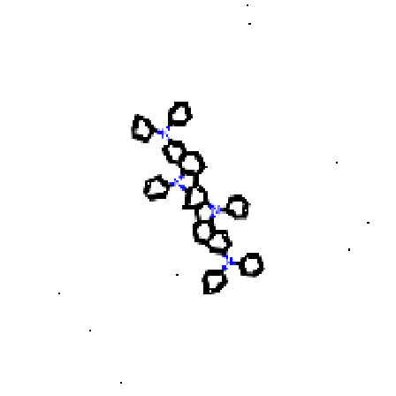 c1ccc(N(c2ccccc2)c2ccc3c(ccc4c5cc6c(cc5n(-c5ccccc5)c34)c3ccc4cc(N(c5ccccc5)c5ccccc5)ccc4c3n6-c3ccccc3)c2)cc1